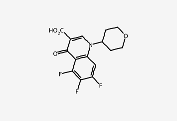 O=C(O)c1cn(C2CCOCC2)c2cc(F)c(F)c(F)c2c1=O